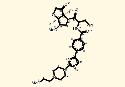 COCCN1CCN(c2nc(-c3ccc(C(=O)NC(CC(C)C)C(=O)N4C[C@@H](OC)[C@H]5OCC(=O)[C@H]54)cc3)cs2)CC1